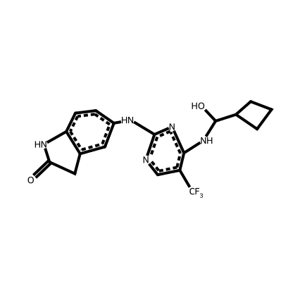 O=C1Cc2cc(Nc3ncc(C(F)(F)F)c(NC(O)C4CCC4)n3)ccc2N1